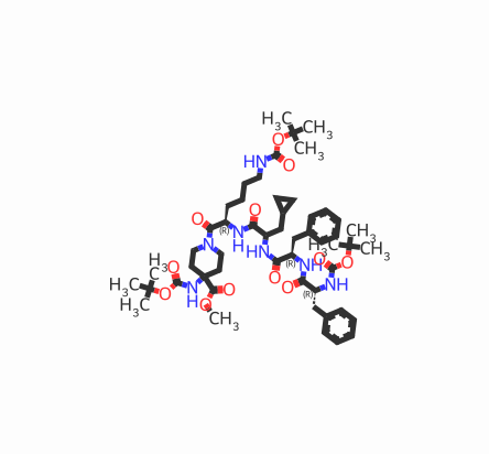 COC(=O)C1(NC(=O)OC(C)(C)C)CCN(C(=O)[C@@H](CCCCNC(=O)OC(C)(C)C)NC(=O)C(CC2CC2)NC(=O)[C@@H](Cc2ccccc2)NC(=O)[C@@H](Cc2ccccc2)NC(=O)OC(C)(C)C)CC1